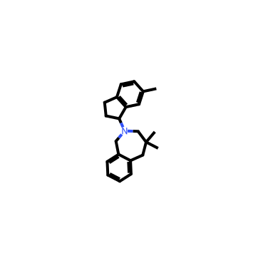 Cc1ccc2c(c1)C(N1Cc3ccccc3CC(C)(C)C1)CC2